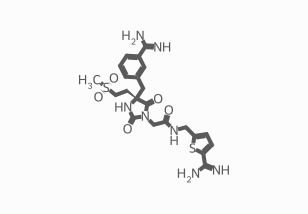 CS(=O)(=O)CC[C@]1(Cc2cccc(C(=N)N)c2)NC(=O)N(CC(=O)NCc2ccc(C(=N)N)s2)C1=O